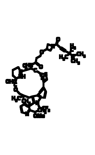 CO[C@@H](C)c1ncccc1-c1c2c3cc(ccc3n1CC(F)(F)F)-c1csc(n1)C[C@H](NC(=O)CCOC1CN(C(=O)C#CC(C)(C)N(C)C)C1)C(=O)N1CCC[C@](C=O)(COCC(C)(C)C2)N1